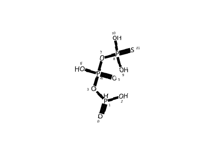 O=[PH](O)OP(=O)(O)OP(O)(O)=S